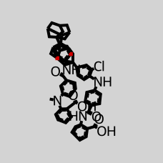 CN(c1cccc(C(=O)Nc2ccc(C34CC5CC(C3)C(C3C6CC7CC3CC(c3ccc(Nc8ccc(C(=O)Nc9ccccc9C(=O)O)cc8)c(Cl)c3)(C7)C6)C(C5)C4)cc2)c1)c1ccccc1C(=O)O